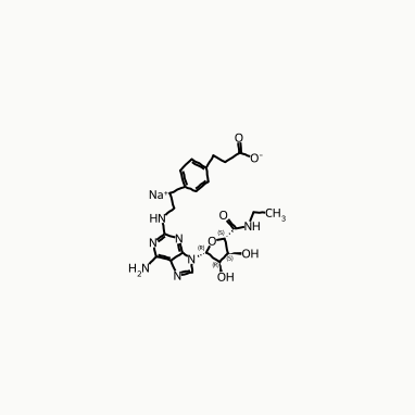 CCNC(=O)[C@H]1O[C@@H](n2cnc3c(N)nc(NCCc4ccc(CCC(=O)[O-])cc4)nc32)[C@H](O)[C@@H]1O.[Na+]